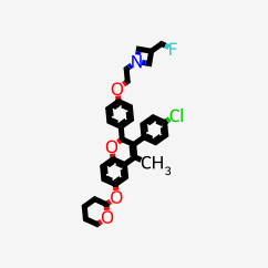 CC1=C(c2ccc(Cl)cc2)C(c2ccc(OCCN3CC(CF)C3)cc2)Oc2ccc(OC3CCCCO3)cc21